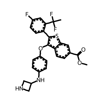 COC(=O)c1ccc2c(Oc3ccc(NC4CNC4)cc3)c(-c3ccc(F)cc3C(C)(F)F)sc2c1